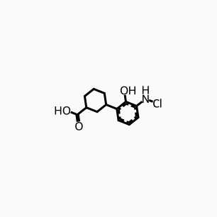 O=C(O)C1CCCC(c2cccc(NCl)c2O)C1